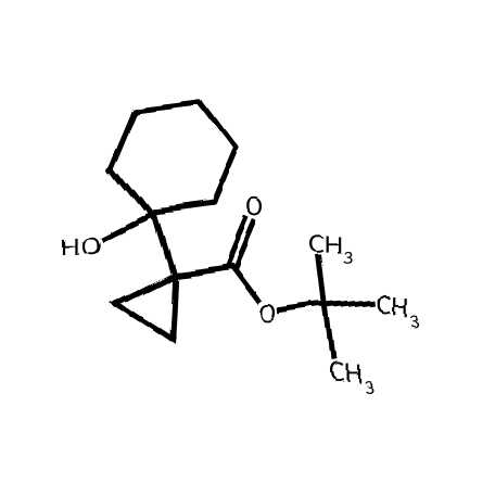 CC(C)(C)OC(=O)C1(C2(O)CCCCC2)CC1